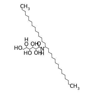 CCCCCCCCCCCCCCCC(CCCCCCCCCCCCCCC)NC(=O)C(O)C(O)C(O)C(O)CO